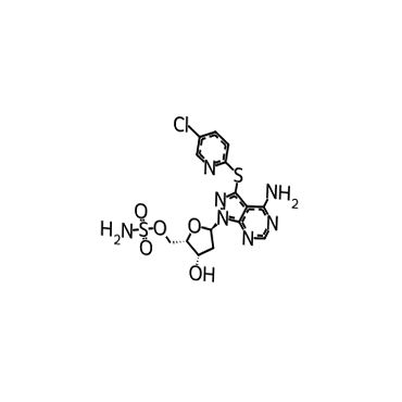 Nc1ncnc2c1c(Sc1ccc(Cl)cn1)nn2[C@H]1C[C@H](O)[C@H](COS(N)(=O)=O)O1